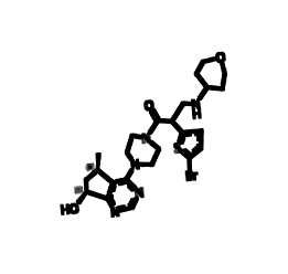 C[C@@H]1C[C@H](O)c2ncnc(N3CCN(C(=O)C(CNC4CCOCC4)c4ccc(Br)s4)CC3)c21